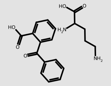 NCCCC(N)C(=O)O.O=C(O)c1ccccc1C(=O)c1ccccc1